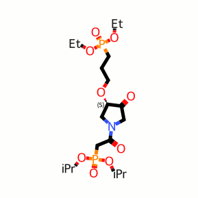 CCOP(=O)(CCCO[C@H]1CN(C(=O)CP(=O)(OC(C)C)OC(C)C)CC1=O)OCC